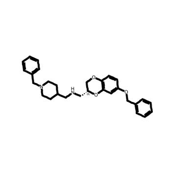 c1ccc(COc2ccc3c(c2)O[C@H](CNCC2CCN(Cc4ccccc4)CC2)CO3)cc1